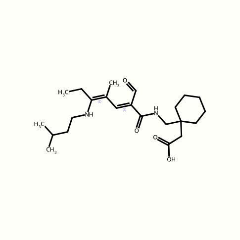 CC/C(NCCC(C)C)=C(C)/C=C(\C=O)C(=O)NCC1(CC(=O)O)CCCCC1